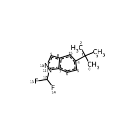 CC(C)(C)c1ccc2c(cnn2C(F)F)c1